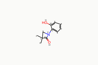 CC1(C)CN(c2ccccc2O)C1=O